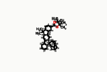 CC1(C)c2ccc(B3OC(C)(C)C(C)(C)O3)cc2-c2cc3c(cc21)-c1ccccc1C31C2CC3CC(C2)CC1C3